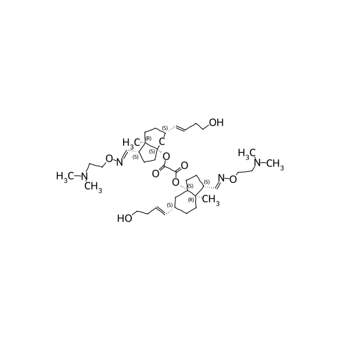 CN(C)CCON=C[C@H]1CC[C@]2(OC(=O)C(=O)O[C@]34CC[C@H](C=NOCCN(C)C)[C@@]3(C)CC[C@H](C=CCCO)C4)C[C@@H](C=CCCO)CC[C@]12C